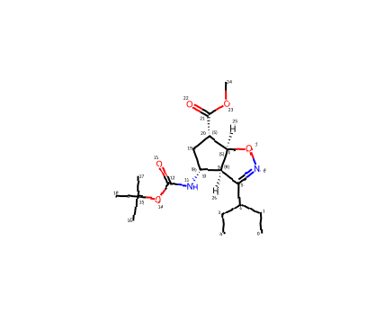 CCC(CC)C1=NO[C@H]2[C@@H]1[C@H](NC(=O)OC(C)(C)C)C[C@@H]2C(=O)OC